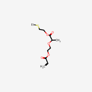 C=CC(=O)OCCOC(C)C(=O)OCCSCC